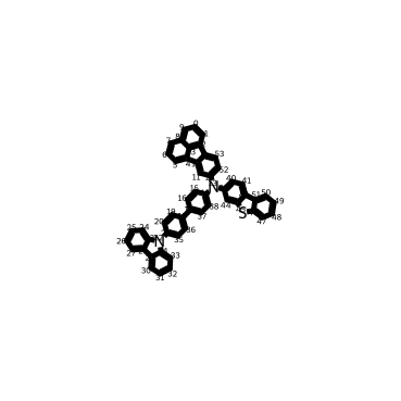 c1cc2c3c(cccc3c1)-c1cc(N(c3ccc(-c4ccc(-n5c6ccccc6c6ccccc65)cc4)cc3)c3ccc4c(c3)sc3ccccc34)ccc1-2